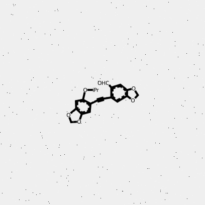 CC(C)Oc1cc2c(cc1C#Cc1cc3c(cc1C=O)OCO3)OCO2